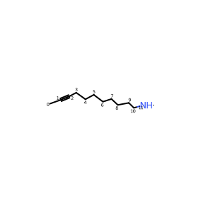 CC#CCCCCCCCC[NH]